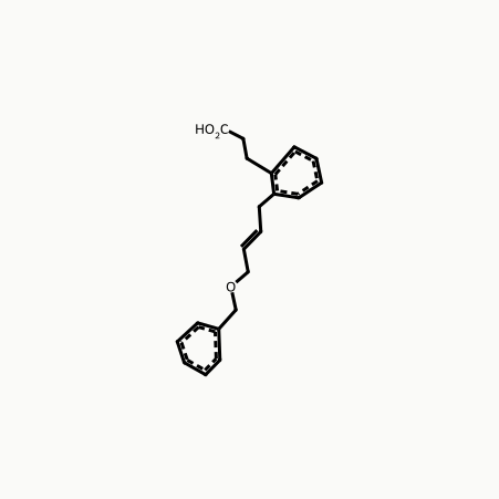 O=C(O)CCc1ccccc1CC=CCOCc1ccccc1